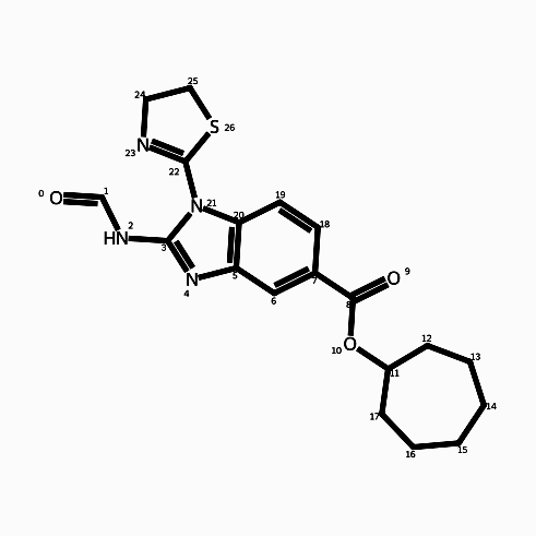 O=CNc1nc2cc(C(=O)OC3CCCCCC3)ccc2n1C1=NCCS1